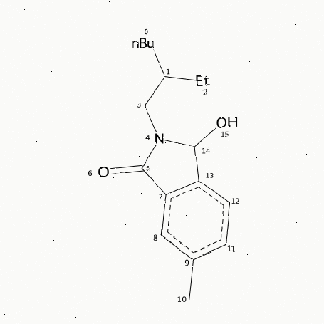 CCCCC(CC)CN1C(=O)c2cc(C)ccc2C1O